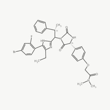 CCc1nc(C([C@@H](C)c2ccccc2)N2C(=O)N[C@H](c3ccc(OCC(=O)N(C)C)cc3)C2=O)[nH]c1-c1ccc(Br)cc1F